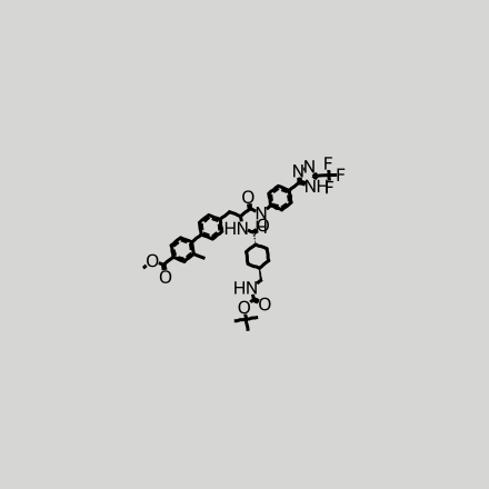 COC(=O)c1ccc(-c2ccc(CC(NC(=O)[C@H]3CC[C@H](CNC(=O)OC(C)(C)C)CC3)C(=O)Nc3ccc(-c4nnc(C(F)(F)F)[nH]4)cc3)cc2)c(C)c1